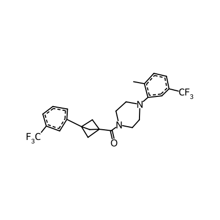 Cc1ccc(C(F)(F)F)cc1N1CCN(C(=O)C23CC(c4cccc(C(F)(F)F)c4)(C2)C3)CC1